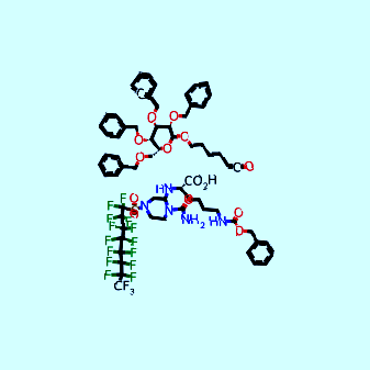 NC(=O)N1CCN(S(=O)(=O)C(F)(F)C(F)(F)C(F)(F)C(F)(F)C(F)(F)C(F)(F)C(F)(F)C(F)(F)F)CC1N[C@@H](CCCCNC(=O)OCc1ccccc1)C(=O)O.O=C=CCCCCOC1O[C@H](COCc2ccccc2)[C@@H](OCc2ccccc2)[C@H](OCc2ccccc2)[C@@H]1OCc1ccccc1